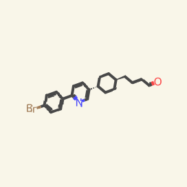 O=CCCC[C@H]1CC[C@H](c2ccc(-c3ccc(Br)cc3)nc2)CC1